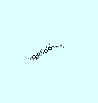 C/C=C/CCc1ccc(C2=CCC(OC(=O)c3ccc(-c4ccc(OCCCC)c(F)c4F)c(F)c3F)CC2)c(F)c1F